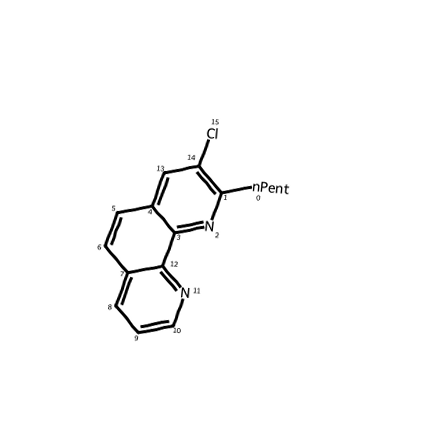 CCCCCc1nc2c(ccc3cccnc32)cc1Cl